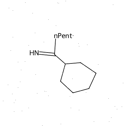 CCCC[CH]C(=N)C1CCCCC1